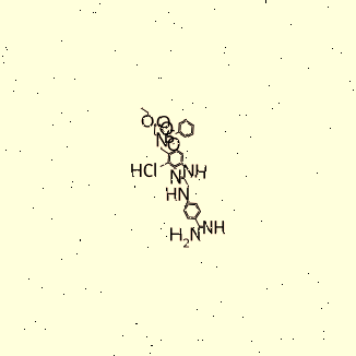 CCOC(=O)CN(Cc1ccc2[nH]c(CNc3ccc(C(=N)N)cc3)nc2c1C)S(=O)(=O)c1ccccc1.Cl